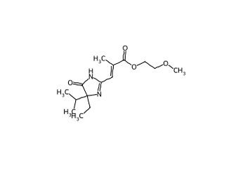 CCC1(C(C)C)N=C(/C=C(\C)C(=O)OCCOC)NC1=O